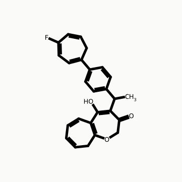 CC(C1=C(O)C2=C(CC=CC=C2)OCC1=O)c1ccc(C2=CC=C(F)C=CC2)cc1